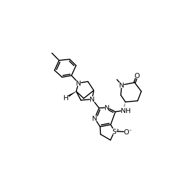 Cc1ccc(N2CC3C[C@@H]2CN3c2nc3c(c(N[C@H]4CCC(=O)N(C)C4)n2)[S+]([O-])CC3)cc1